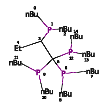 CCCCP(CCCC)C(CC)C(P(CCCC)CCCC)(P(CCCC)CCCC)P(CCCC)CCCC